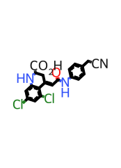 N#CCc1ccc(NC(=O)C=C2CC(C(=O)O)Nc3cc(Cl)cc(Cl)c32)cc1